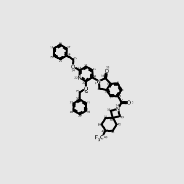 O=C(c1ccc2c(c1)CN(c1ccc(OCc3ccccc3)nc1OCc1ccccc1)C2=O)N1CC2(CCC(C(F)(F)F)CC2)C1